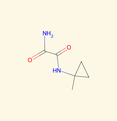 CC1(NC(=O)C(N)=O)CC1